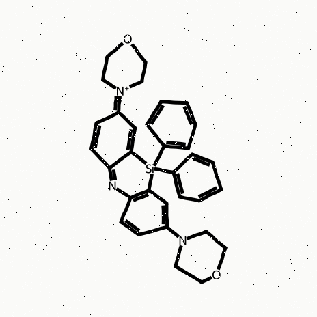 C1=CC(=[N+]2CCOCC2)C=C2C1=Nc1ccc(N3CCOCC3)cc1[Si]2(c1ccccc1)c1ccccc1